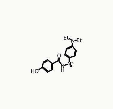 C=[N+](NC(=O)c1ccc(O)cc1)c1ccc(N(CC)CC)cc1